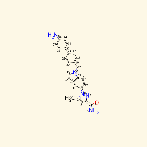 Cc1cc(C(N)=O)nn1-c1ccc2c(ccn2Cc2ccc(-c3ccc(N)cc3)cc2)c1